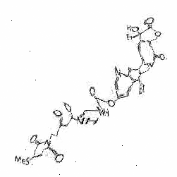 CCc1c2c(cc3ncc(OC(=O)NCNC(=O)CC(=O)CCN4C(=O)CC(SC)C4=O)cc13)-c1cc3c(c(=O)n1C2)COC(=O)[C@]3(O)CC